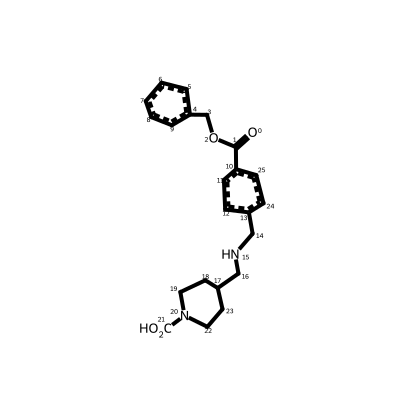 O=C(OCc1ccccc1)c1ccc(CNCC2CCN(C(=O)O)CC2)cc1